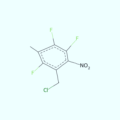 Cc1c(F)c(F)c([N+](=O)[O-])c(CCl)c1F